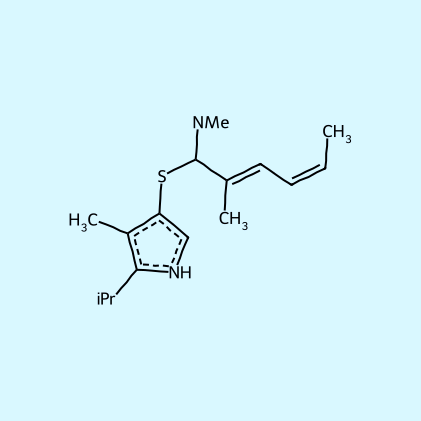 C/C=C\C=C(/C)C(NC)Sc1c[nH]c(C(C)C)c1C